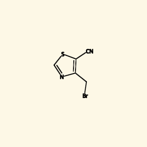 N#Cc1scnc1CBr